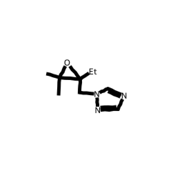 CCC1(Cn2cncn2)OC1(C)C